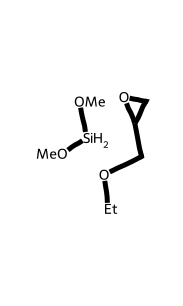 CCOCC1CO1.CO[SiH2]OC